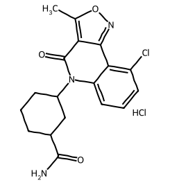 Cc1onc2c1c(=O)n(C1CCCC(C(N)=O)C1)c1cccc(Cl)c21.Cl